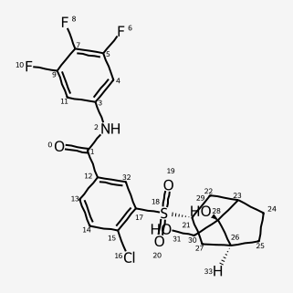 O=C(Nc1cc(F)c(F)c(F)c1)c1ccc(Cl)c(S(=O)(=O)[C@@H]2CC3CC[C@@H](C2)[C@]3(O)CO)c1